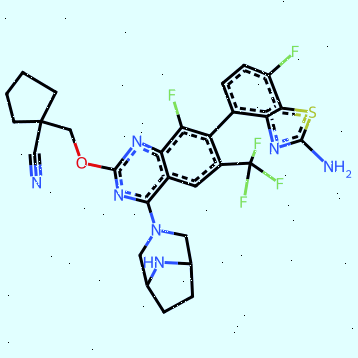 N#CC1(COc2nc(N3CC4CCC(C3)N4)c3cc(C(F)(F)F)c(-c4ccc(F)c5sc(N)nc45)c(F)c3n2)CCCC1